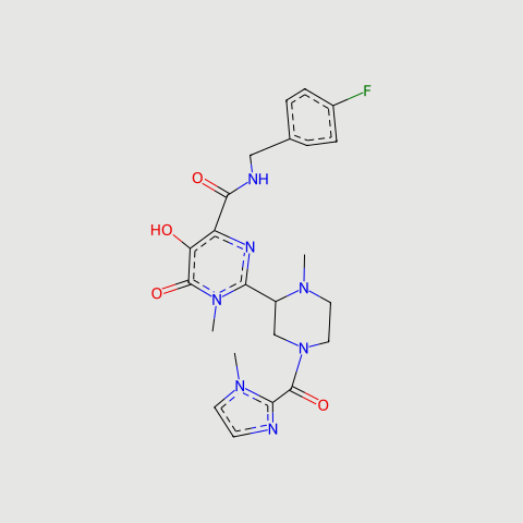 CN1CCN(C(=O)c2nccn2C)CC1c1nc(C(=O)NCc2ccc(F)cc2)c(O)c(=O)n1C